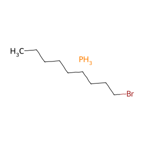 CCCCCCCCCBr.P